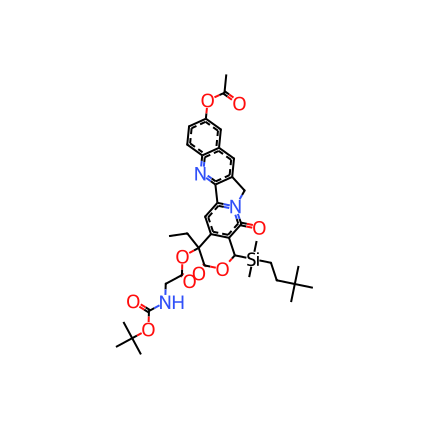 CCC1(OC(=O)CNC(=O)OC(C)(C)C)C(=O)OC([Si](C)(C)CCC(C)(C)C)c2c1cc1n(c2=O)Cc2cc3cc(OC(C)=O)ccc3nc2-1